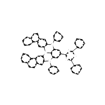 c1ccc(-c2nc(-c3ccccc3)nc(-c3cc4c5c(c3)N(c3ccccc3)c3cc6ccc7ccccc7c6cc3B5c3cc5c(ccc6ccccc65)cc3N4c3ccccc3)n2)cc1